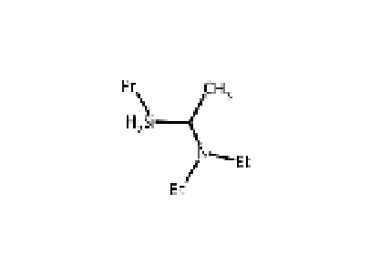 CCN(CC)C(C)[SiH2]C(C)C